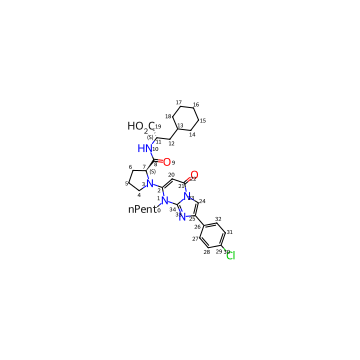 CCCCCn1c(N2CCC[C@H]2C(=O)N[C@@H](CC2CCCCC2)C(=O)O)cc(=O)n2cc(-c3ccc(Cl)cc3)nc12